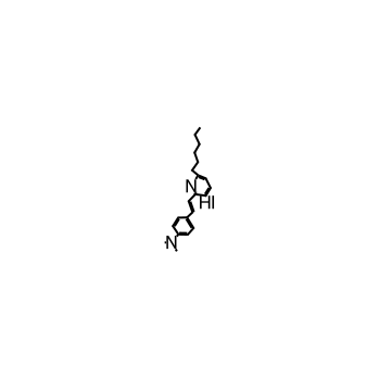 CCCCCCc1cccc(/C=C/c2ccc(N(C)C)cc2)n1.I